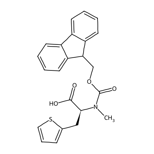 CN(C(=O)OCC1c2ccccc2-c2ccccc21)[C@@H](Cc1cccs1)C(=O)O